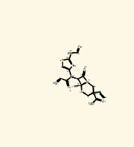 C=CC1(C(=O)O)CS[C@@H]2C(N(C(=O)C=O)c3csc(NC=O)n3)C(=O)N2C1